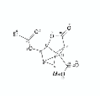 CCC(=O)OC1C2CC3C1OC(=O)C3C2C(=O)OC